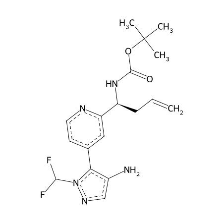 C=CC[C@H](NC(=O)OC(C)(C)C)c1cc(-c2c(N)cnn2C(F)F)ccn1